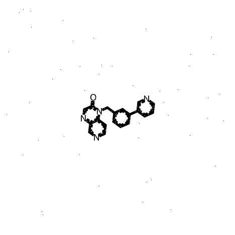 O=c1cnc2cnccc2n1Cc1cccc(-c2cccnc2)c1